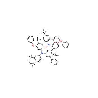 Cc1cc2c(cc1N1c3cc4c(cc3B3c5c1cc1c(c5-c5cc6c(cc5N3c3ccc(C(C)(C)C)cc3-c3ccccc3)oc3ccccc36)C(C)(C)c3ccccc3-1)C(C)(C)c1ccccc1O4)C(C)(C)CCC2(C)C